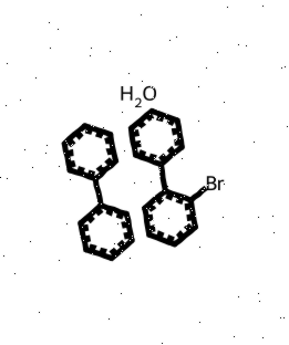 Brc1ccccc1-c1ccccc1.O.c1ccc(-c2ccccc2)cc1